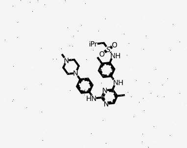 Cc1ccc(Nc2nc(Nc3ccc(N4CCN(C)CC4)cc3)ncc2C)cc1NS(=O)(=O)CC(C)C